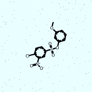 COc1cccc(OS(=O)(=O)c2ccc(Cl)c([N+](=O)[O-])c2)c1